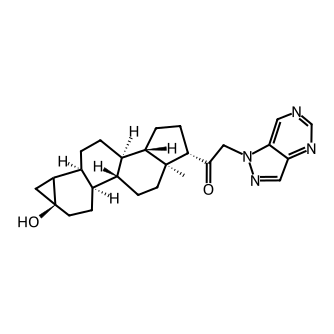 C[C@]12CC[C@@H]3[C@H]4CC[C@]5(O)CC5[C@H]4CC[C@H]3[C@@H]1CC[C@@H]2C(=O)Cn1ncc2ncncc21